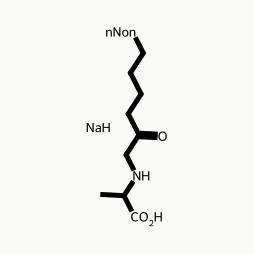 CCCCCCCCCCCCCC(=O)CNC(C)C(=O)O.[NaH]